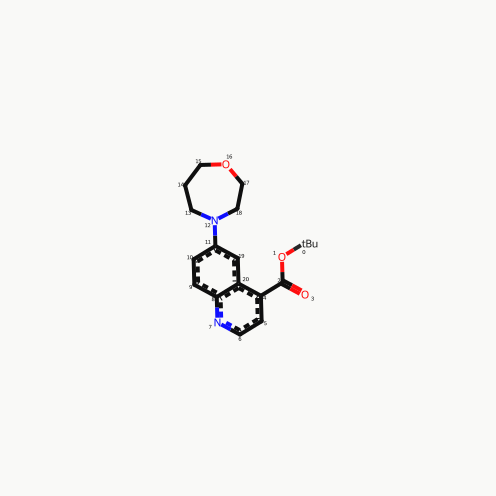 CC(C)(C)OC(=O)c1ccnc2ccc(N3CCCOCC3)cc12